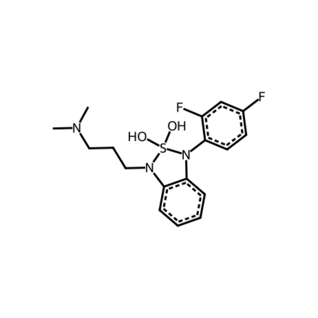 CN(C)CCCN1c2ccccc2N(c2ccc(F)cc2F)S1(O)O